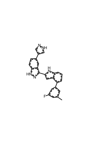 Cc1cc(F)cc(-c2cccc3[nH]c(-c4n[nH]c5ccc(-c6cn[nH]c6)cc45)cc23)c1